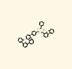 c1ccc(-c2nc(-c3ccc4c(c3)oc3cc(-n5c6ccccc6c6cccc(-c7ccccc7)c65)ccc34)nc(-c3cccc4c3sc3ccccc34)n2)cc1